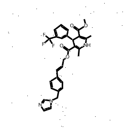 COC(=O)C1=C(C)NC(C)=C(C(=O)OCC=Cc2ccc(Cn3ccnc3)cc2)C1c1cccc(C(F)(F)F)c1